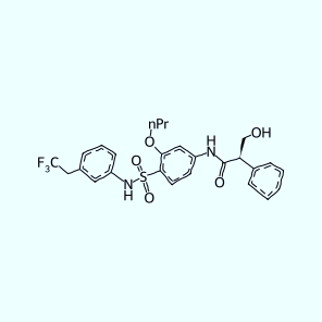 CCCOc1cc(NC(=O)[C@@H](CO)c2ccccc2)ccc1S(=O)(=O)Nc1cccc(CC(F)(F)F)c1